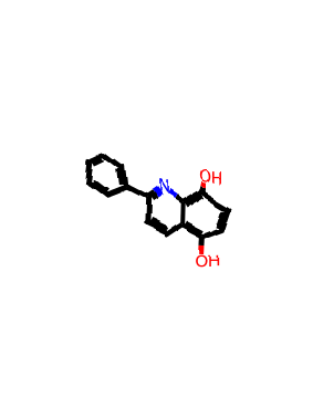 Oc1ccc(O)c2nc(-c3ccccc3)ccc12